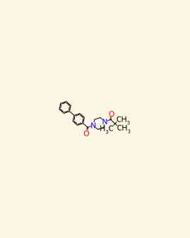 CC(C)(C)C(=O)N1CCN(C(=O)c2ccc(-c3ccccc3)cc2)CC1